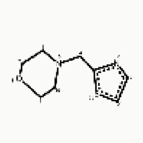 [c]1cnc(CN2CCOCC2)s1